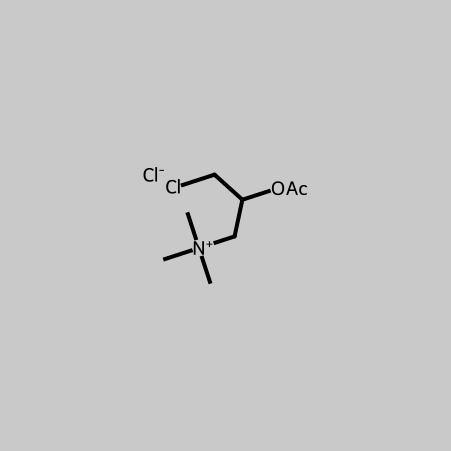 CC(=O)OC(CCl)C[N+](C)(C)C.[Cl-]